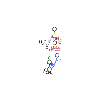 CCN(CC)CC[C@H](CSc1ccccc1)Nc1ccc(S(=O)(=O)NC(=O)c2ccc(NCCNCC3=C(c4ccc(Cl)cc4)CC(C)(C)CC3)cc2)cc1S(=O)(=O)C(F)(F)F